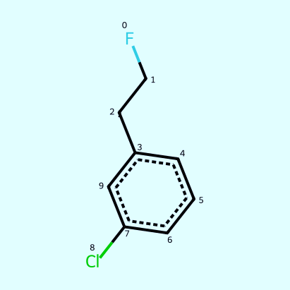 FC[CH]c1cccc(Cl)c1